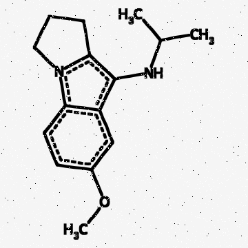 COc1ccc2c(c1)c(NC(C)C)c1n2CCC1